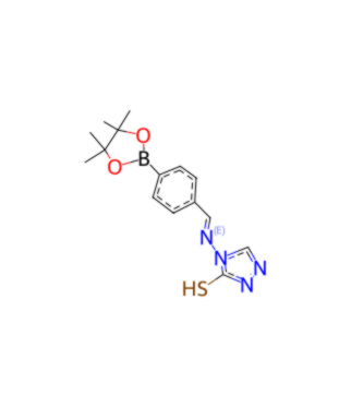 CC1(C)OB(c2ccc(/C=N/n3cnnc3S)cc2)OC1(C)C